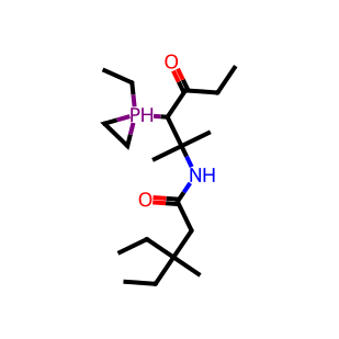 CCC(=O)C(C(C)(C)NC(=O)CC(C)(CC)CC)[PH]1(CC)CC1